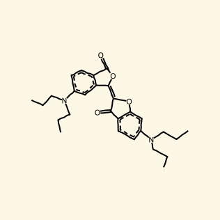 CCCN(CCC)c1ccc2c(c1)OC(=C1OC(=O)c3ccc(N(CCC)CCC)cc31)C2=O